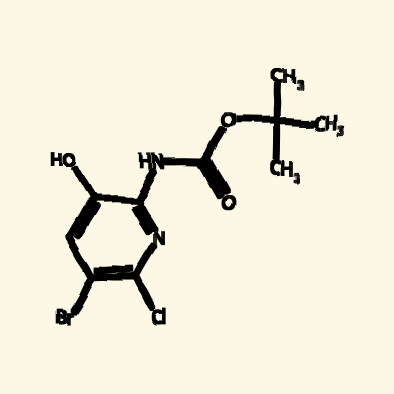 CC(C)(C)OC(=O)Nc1nc(Cl)c(Br)cc1O